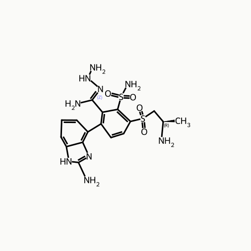 C[C@@H](N)CS(=O)(=O)c1ccc(-c2cccc3[nH]c(N)nc23)c(/C(N)=N/NN)c1S(N)(=O)=O